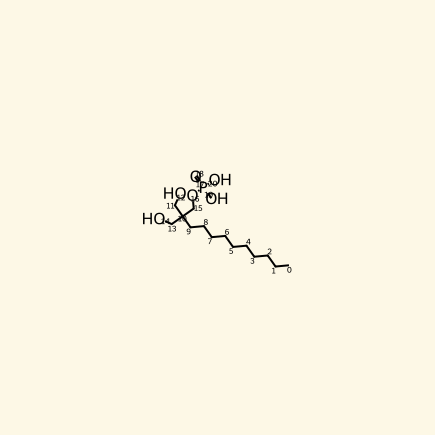 CCCCCCCCCCC(CO)(CO)COP(=O)(O)O